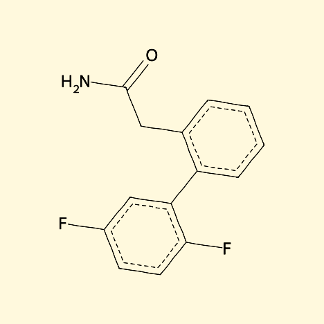 NC(=O)Cc1ccccc1-c1cc(F)ccc1F